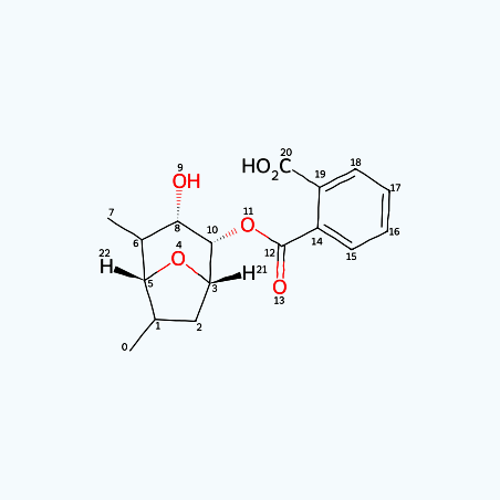 CC1C[C@@H]2O[C@H]1C(C)[C@H](O)[C@@H]2OC(=O)c1ccccc1C(=O)O